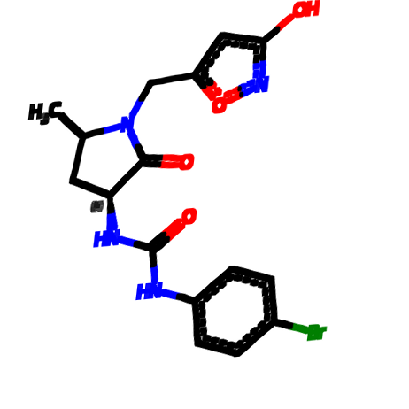 CC1C[C@H](NC(=O)Nc2ccc(Br)cc2)C(=O)N1Cc1cc(O)no1